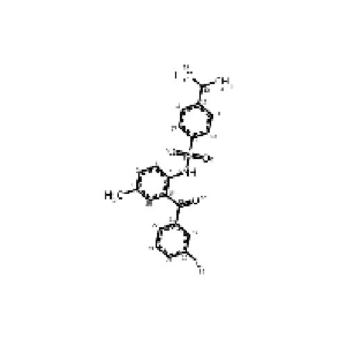 Cc1ccc(NS(=O)(=O)c2ccc(C(C)C)cc2)c(C(=O)c2cccc(Cl)c2)c1